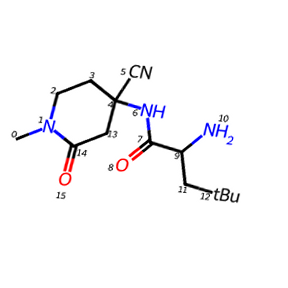 CN1CCC(C#N)(NC(=O)C(N)CC(C)(C)C)CC1=O